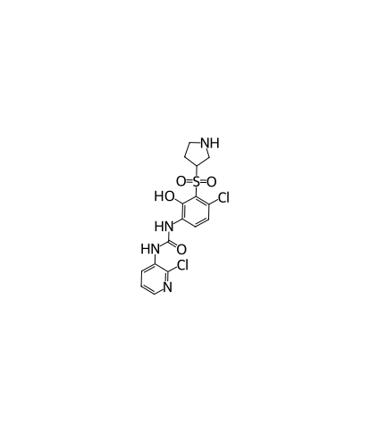 O=C(Nc1cccnc1Cl)Nc1ccc(Cl)c(S(=O)(=O)C2CCNC2)c1O